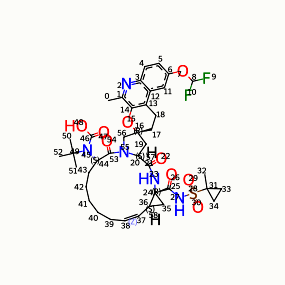 Cc1nc2ccc(OC(F)F)cc2c2c1O[C@]1(CC2)C[C@H]2C(=O)N[C@]3(C(=O)NS(=O)(=O)C4(C)CC4)C[C@H]3/C=C\CCCCC[C@H](N(C(=O)O)C(C)(C)C)C(=O)N2C1